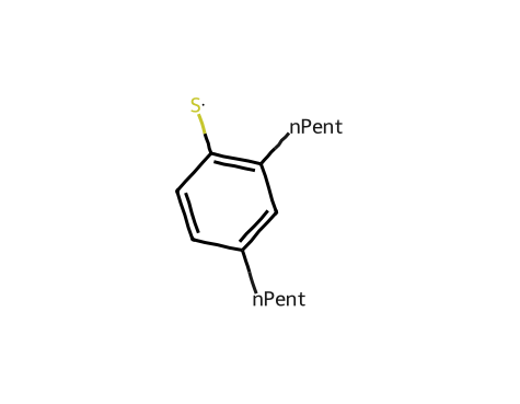 CCCCCc1ccc([S])c(CCCCC)c1